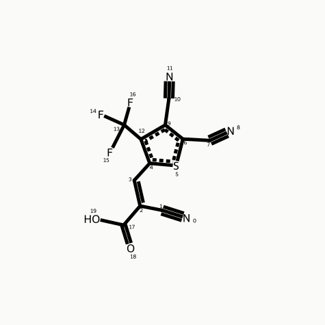 N#C/C(=C\c1sc(C#N)c(C#N)c1C(F)(F)F)C(=O)O